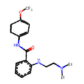 CCN(CC)CCNc1ccccc1C(=O)NC1=CC=C(OC(F)(F)F)CC1